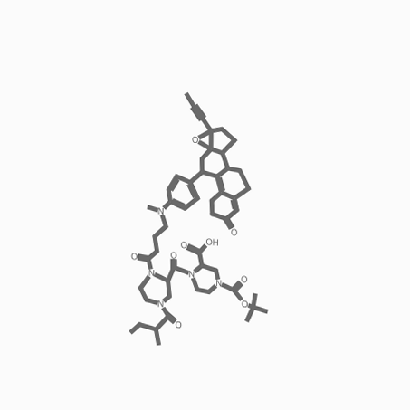 CC#CC12CCC3C4CCC5=CC(=O)CCC5=C4C(c4ccc(N(C)CCCC(=O)N5CCN(C(=O)C(C)CC)CC5C(=O)N5CCN(C(=O)OC(C)(C)C)CC5C(=O)O)cc4)CC31O2